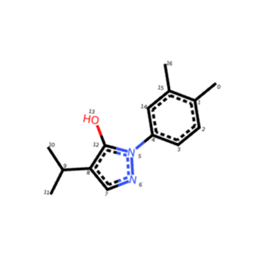 Cc1ccc(-n2ncc(C(C)C)c2O)cc1C